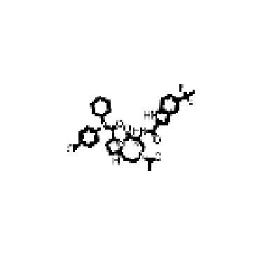 CC(=O)N1CC[C@H]2CC[C@@H](C(=O)N(c3ccc(Cl)cc3)C3CCCCC3)N2C(=O)[C@@H](NC(=O)c2cc3cc(C(C)(F)F)ccc3[nH]2)C1